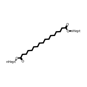 CCCCCCCOC(=O)CCCCCCCCCCCCCCCC(=O)OCCCCCCC